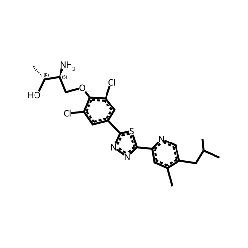 Cc1cc(-c2nnc(-c3cc(Cl)c(OC[C@H](N)[C@@H](C)O)c(Cl)c3)s2)ncc1CC(C)C